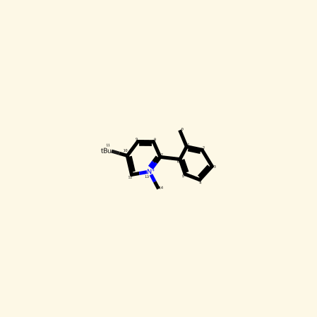 Cc1ccccc1-c1ccc(C(C)(C)C)c[n+]1C